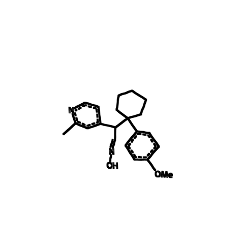 COc1ccc(C2(C(/C=N/O)c3ccnc(C)c3)CCCCC2)cc1